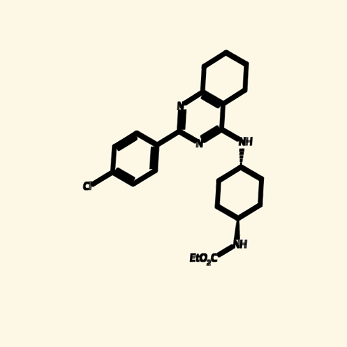 CCOC(=O)N[C@H]1CC[C@H](Nc2nc(-c3ccc(Cl)cc3)nc3c2CCCC3)CC1